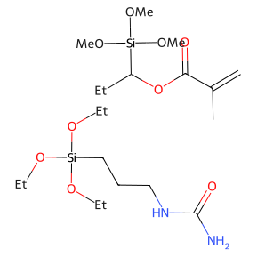 C=C(C)C(=O)OC(CC)[Si](OC)(OC)OC.CCO[Si](CCCNC(N)=O)(OCC)OCC